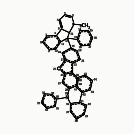 CC1C=CC=C2c3ccccc3C(c3ccccc3)(c3ccc4c(c3)oc3cc(N(c5ccccc5)c5ccccc5-c5ccccc5)ccc34)C21